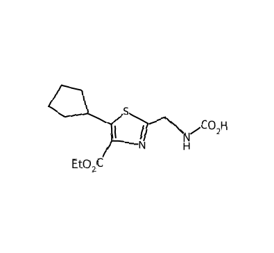 CCOC(=O)c1nc(CNC(=O)O)sc1C1CCCC1